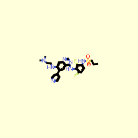 CCCS(=O)(=O)Nc1ccc(F)c(Nc2ncnc3cc(NCCN(C)C)c(-c4ccncc4)cc23)c1F